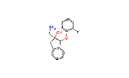 NCC1(O)Cc2ccccc2C1Oc1ccccc1F